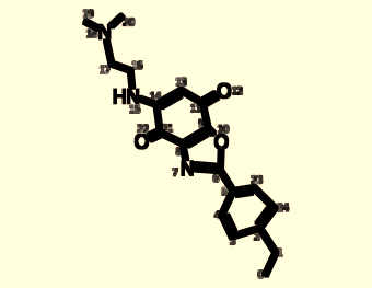 CCc1ccc(-c2nc3c(o2)C(=O)C=C(NCCN(C)C)C3=O)cc1